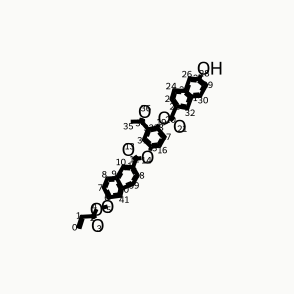 C=CC(=O)OOc1ccc2cc(C(=O)Oc3ccc(OC(=O)c4ccc5cc(O)ccc5c4)c(C(C)=O)c3)ccc2c1